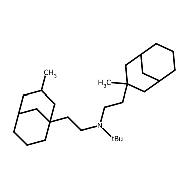 CC1CC2CCCC(CCN(CCC3(C)CC4CCCC(C4)C3)C(C)(C)C)(C1)C2